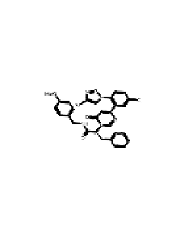 COc1ccc(CNC(=O)[C@H](Cc2ccccc2)n2cnc(-c3cc(Cl)ccc3-n3cc(Cl)nn3)cc2=O)cc1